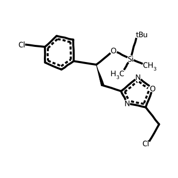 CC(C)(C)[Si](C)(C)O[C@@H](Cc1noc(CCl)n1)c1ccc(Cl)cc1